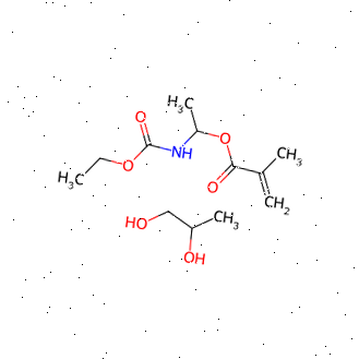 C=C(C)C(=O)OC(C)NC(=O)OCC.CC(O)CO